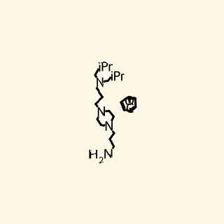 CC(C)CN(CCCN1CCN(CCCN)CC1)CC(C)C.c1cc2ccc1CO2